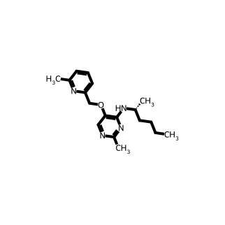 CCCC[C@@H](C)Nc1nc(C)ncc1OCc1cccc(C)n1